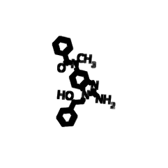 CN(C(=O)c1ccccc1)c1ccc2c(c1)nc(N)n2C[C@H](O)c1ccccc1